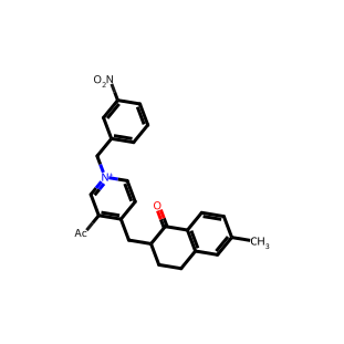 CC(=O)c1c[n+](Cc2cccc([N+](=O)[O-])c2)ccc1CC1CCc2cc(C)ccc2C1=O